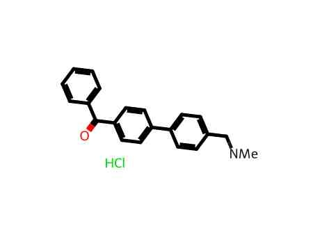 CNCc1ccc(-c2ccc(C(=O)c3ccccc3)cc2)cc1.Cl